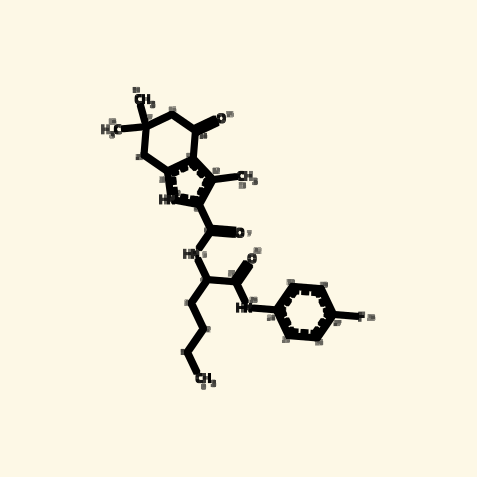 CCCCC(NC(=O)c1[nH]c2c(c1C)C(=O)CC(C)(C)C2)C(=O)Nc1ccc(F)cc1